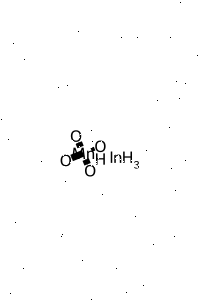 [InH3].[O]=[Mn](=[O])(=[O])[OH]